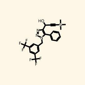 C[Si](C)(C)C#CC(O)c1nnn(Cc2cc(C(F)(F)F)cc(C(F)(F)F)c2)c1-c1ccccc1